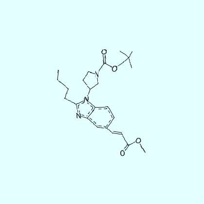 CCCCc1nc2cc(/C=C/C(=O)OC)ccc2n1C1CCN(C(=O)OC(C)(C)C)C1